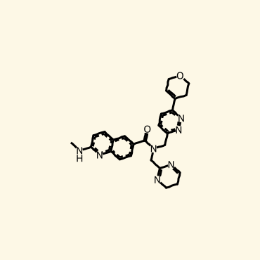 CNc1ccc2cc(C(=O)N(CC3=NCCC=N3)Cc3ccc(C4=CCOCC4)nn3)ccc2n1